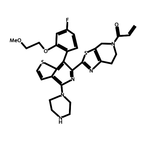 C=CC(=O)N1CCc2nc(-c3nc(N4CCNCC4)c4ccsc4c3-c3ccc(F)cc3OCCOC)sc2C1